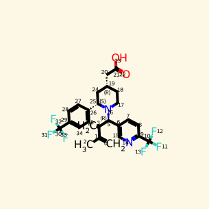 C=C(C)C(=C)[C@H](c1ccc(C(F)(F)F)nc1)N1CC[C@@H](CC(=O)O)C[C@H]1c1ccc(C(F)(F)F)cc1